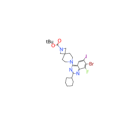 CC(C)(C)OC(=O)N1CC2(CCN(c3nc(C4CCCCC4)nc4c(F)c(Br)c(I)cc34)CC2)C1